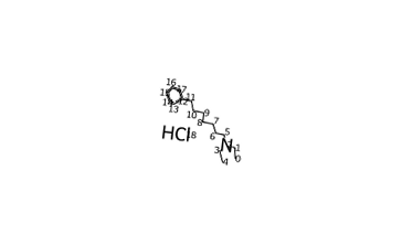 CCN(CC)CCCCCCCc1ccccc1.Cl